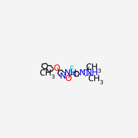 Cc1cccc2cc(Oc3ccnc(NC(=O)c4ccc(N5CC(C)NC(C)C5)cc4F)c3)ccc12